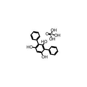 O=P(O)(O)O.Oc1cc(O)c(-c2ccccc2)c(O)c1-c1ccccc1